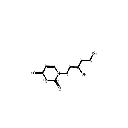 O=c1ccn(CCC(O)CCO)c(=O)[nH]1